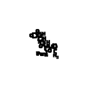 CCC[C@@H](C)CC[C@H](NC(=O)N1CCC[C@H]1C)C(=O)Nc1cc2c(cn1)C1(CCOCC1)C(=O)N2